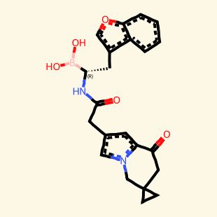 O=C(Cc1cc2n(c1)CC1(CC1)CC2=O)N[C@@H](Cc1coc2ccccc12)B(O)O